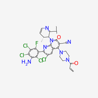 C=CC(=O)N1CCN(c2c(C#N)c(=O)n(C3C(C(C)C)=NC=C[C@H]3C)c3nc(-c4c(F)c(Cl)c(Cl)c(N)c4Cl)c(Cl)cc23)CC1